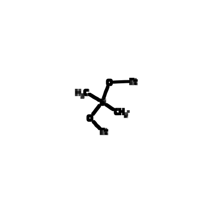 [CH2][Si](C)(OCC)OCC